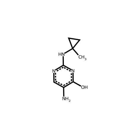 CC1(Nc2ncc(N)c(O)n2)CC1